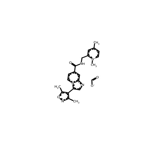 Cc1cc[n+](C)c(CNC(=O)c2ccn3c(-c4c(C)noc4C)cnc3c2)c1.O=C[O-]